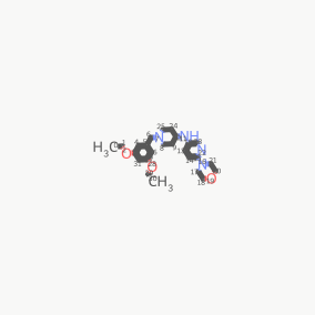 CCOc1cc(CN2CCC(Nc3ccc(N4CCOCC4)nc3)CC2)cc(OCC)c1